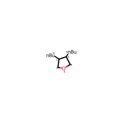 CCCCC1COCC1CCCC